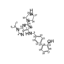 CC(C)n1cnc2c(NCc3ccc(-c4ccccc4O)cc3)nc(N3CCNCC3)nc21